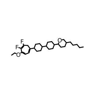 CCCCCC1CCC(C2CCC(C3CCC(C4=CC=C(OCC)C(F)=C(F)C4)CC3)CC2)OC1